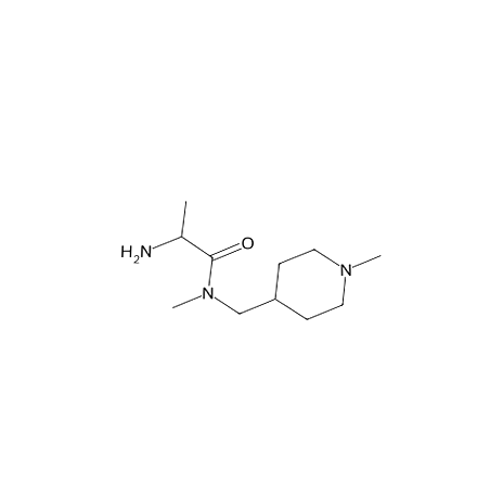 CC(N)C(=O)N(C)CC1CCN(C)CC1